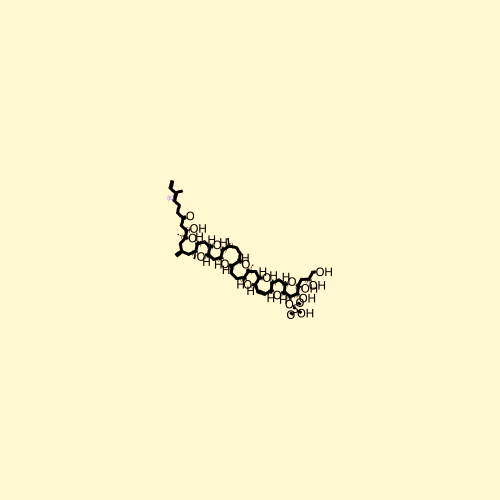 C=C/C(C)=C/CCC(=O)C[C@H](O)[C@]1(C)CC(=C)C[C@@]2(C)O[C@H]3C[C@H]4O[C@H]5CC[C@H]6O[C@H]7C=C[C@H]8O[C@H]9[C@H](OS(=O)(=O)O)[C@H](O)[C@@](O)(C[C@@H](O)CO)O[C@@H]9C[C@@H]8O[C@@H]7C[C@]6(C)O[C@@H]5CC[C@H](C)[C@@H]4O[C@@H]3C[C@@H]2O1